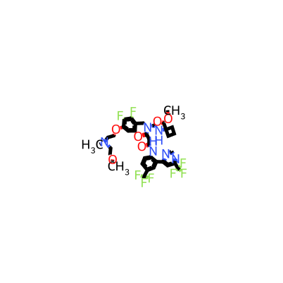 COCCN(C)CCOc1ccc(CN(CNC2(C(=O)OC)CCC2)C(=O)CC(=O)Nc2ccc(C(F)(F)F)cc2-c2cc(C(F)(F)F)ncn2)c(F)c1F